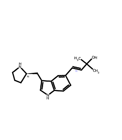 CC(C)(O)/C=C/c1ccc2[nH]cc(C[C@H]3CCCN3)c2c1